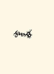 C=C(C)C(=O)OCCOCCC1CC(C)C2CCCC12